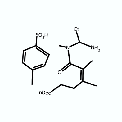 CCCCCCCCCCCCC(C)=C(C)C(=O)N(C)C(N)CC.Cc1ccc(S(=O)(=O)O)cc1